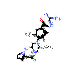 CS(=O)(=O)O.N=C(N)NC(=O)c1ccc(N2CCN(C(=O)c3ccc[nH]3)CC2)c(C(F)(F)F)c1